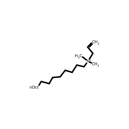 C=CC[N+](C)(C)CCCCCCCCCCCCCCCC